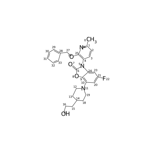 Cc1ccc(-n2c(=O)oc3c(N4CCC(CCO)CC4)cc(F)cc32)c(OCc2ccccc2)n1